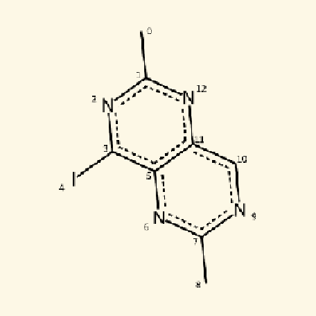 Cc1nc(I)c2nc(C)ncc2n1